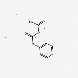 O=C(OC(=S)Cl)Oc1ccccc1